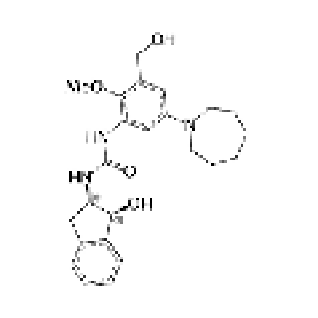 COc1c(CO)cc(N2CCCCCC2)cc1NC(=O)N[C@@H]1Cc2ccccc2[C@@H]1O